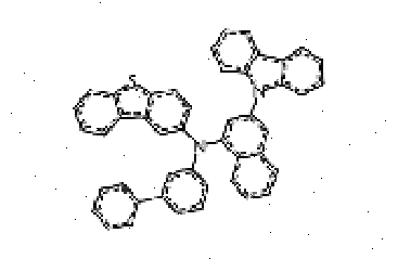 c1ccc(-c2cccc(N(c3ccc4sc5ccccc5c4c3)c3cc(-n4c5ccccc5c5ccccc54)cc4ccccc34)c2)cc1